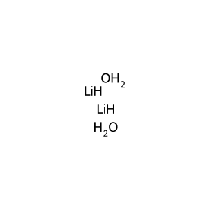 O.O.[LiH].[LiH]